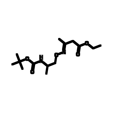 CCOC(=O)CC(C)=NOCC(C)NC(=O)OC(C)(C)C